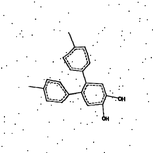 Cc1ccc(-c2cc(O)c(O)cc2-c2ccc(C)cc2)cc1